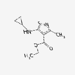 CCOC(=O)c1c(C)nsc1NC1CC1